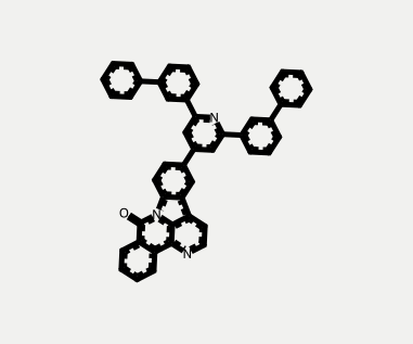 O=c1c2ccccc2c2nccc3c4cc(-c5cc(-c6cccc(-c7ccccc7)c6)nc(-c6cccc(-c7ccccc7)c6)c5)ccc4n1c32